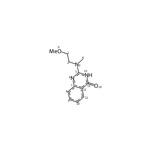 COCCN(C)c1nc2ccccc2c(=O)[nH]1